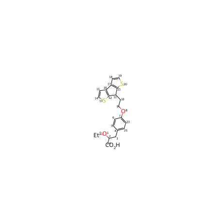 CCOC(Cc1ccc(OCCC2c3sccc3-c3ccsc32)cc1)C(=O)O